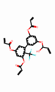 C=CC(=O)Oc1cc(OC(O)C=C)cc(-c2cc(OC(=O)C=C)cc(OC(=O)C=C)c2C(F)(F)F)c1